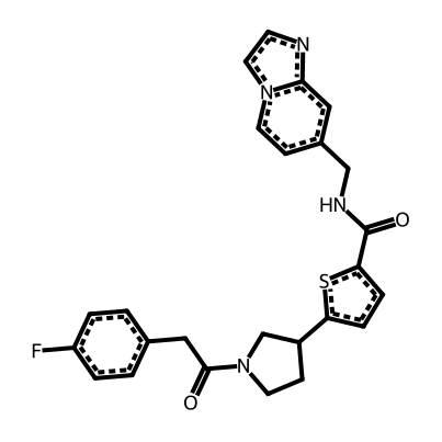 O=C(NCc1ccn2ccnc2c1)c1ccc(C2CCN(C(=O)Cc3ccc(F)cc3)C2)s1